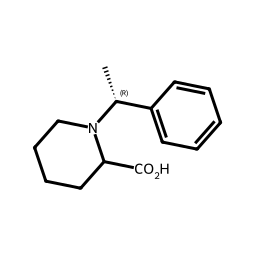 C[C@H](c1ccccc1)N1CCCCC1C(=O)O